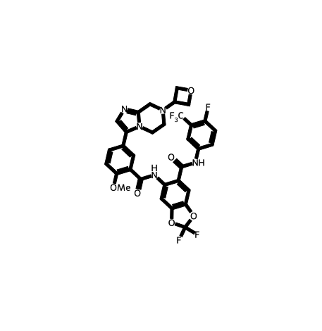 COc1ccc(-c2cnc3n2CCN(C2COC2)C3)cc1C(=O)Nc1cc2c(cc1C(=O)Nc1ccc(F)c(C(F)(F)F)c1)OC(F)(F)O2